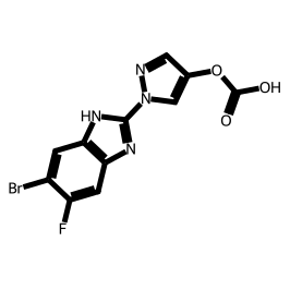 O=C(O)Oc1cnn(-c2nc3cc(F)c(Br)cc3[nH]2)c1